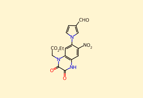 CCOC(=O)Cn1c(=O)c(=O)[nH]c2cc([N+](=O)[O-])c(-n3ccc(C=O)c3)cc21